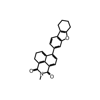 CN1C(=O)C2=c3c(ccc(-c4ccc5c6c(oc5c4)CCCC6)c3=CCC2)C1=O